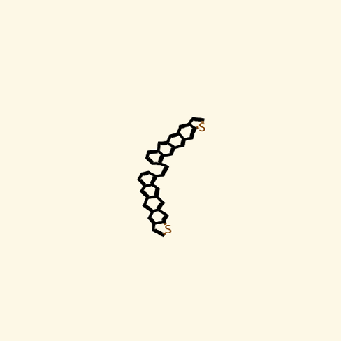 C(=C/c1cccc2cc3cc4cc5ccsc5cc4cc3cc12)/c1cccc2cc3cc4cc5ccsc5cc4cc3cc12